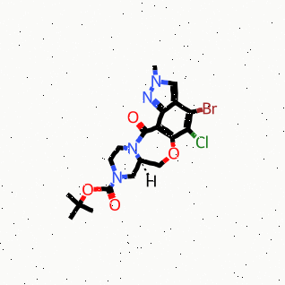 Cn1cc2c(Br)c(Cl)c3c(c2n1)C(=O)N1CCN(C(=O)OC(C)(C)C)C[C@@H]1CO3